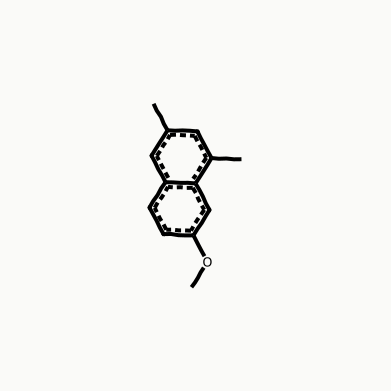 COc1ccc2cc(C)cc(C)c2c1